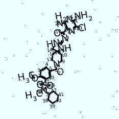 COc1ccc(C(=O)N2CCC3(CC2)CN/C(=N\C(=O)c2nc(Cl)c(N)nc2N)N3)cc1S(=O)(=O)N(C)C1CCCCC1